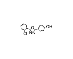 Oc1ccc(-c2nnc(-c3ccccc3Cl)o2)cc1